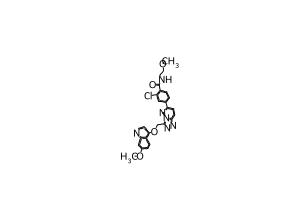 COCCNC(=O)c1ccc(-c2ccc3nnc(COc4ccnc5cc(OC)ccc45)n3n2)cc1Cl